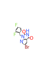 O=c1[nH]c(=O)n(Cc2ccc(F)cc2F)c2ncc(Br)cc12